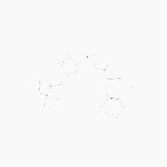 COCC(Oc1ccccc1)C(=O)N1Cc2c(NC(=O)C3([Si](C)(C)C)CCC3)n[nH]c2C1(C)C